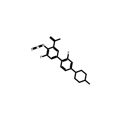 C=C(C)c1cc(-c2ccc(C3CCC(C)CC3)cc2F)cc(F)c1N=C=S